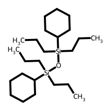 CCC[Si](CCC)(O[Si](CCC)(CCC)C1CCCCC1)C1CCCCC1